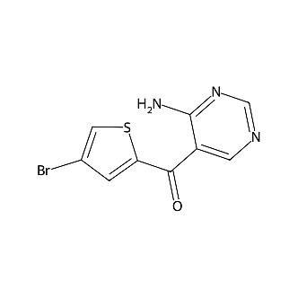 Nc1ncncc1C(=O)c1cc(Br)cs1